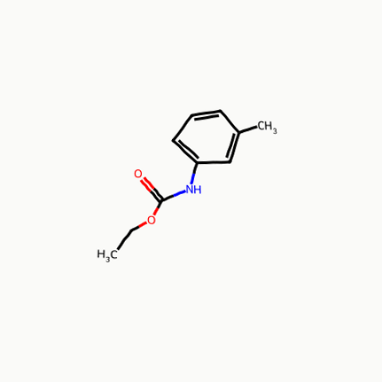 CCOC(=O)Nc1cccc(C)c1